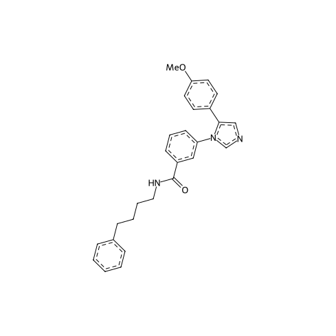 COc1ccc(-c2cncn2-c2cccc(C(=O)NCCCCc3ccccc3)c2)cc1